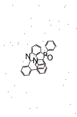 O=P(c1ccccc1)(c1ccccc1)c1cccc2nc3c4ccccc4c4ccccc4n3c12